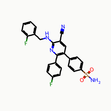 N#Cc1cc(-c2ccc(S(N)(=O)=O)cc2)c(-c2ccc(F)cc2)nc1NCc1ccccc1F